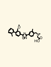 COCc1cc(-c2nc(-c3ccc(CN(C)CC(=O)O)c(C)c3)no2)ccc1-c1ccccc1C